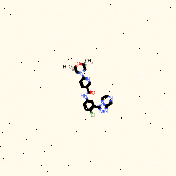 C[C@@H]1CN(c2ccc(C(=O)Nc3ccc(Cl)c(-c4nnc5cnccn45)c3)cn2)C[C@H](C)O1